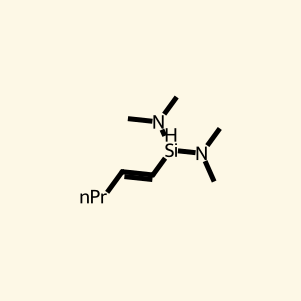 CCCC=C[SiH](N(C)C)N(C)C